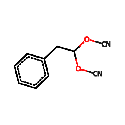 N#COC(Cc1ccccc1)OC#N